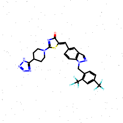 O=C1N=C(N2CCC(c3nnn[nH]3)CC2)S/C1=C\c1ccc2c(cnn2Cc2ccc(C(F)(F)F)cc2C(F)(F)F)c1